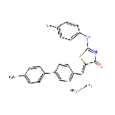 CC(=O)O.O=C1N=C(Nc2cc[c]([Na])cc2)SC1=Cc1ccc(-c2ccc(C(F)(F)F)cc2)cc1